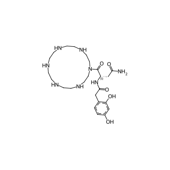 NC(=O)C[C@H](NC(=O)Cc1ccc(O)cc1O)C(=O)N1CCNCCNCCNCCNCCNCC1